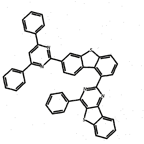 c1ccc(-c2cc(-c3ccccc3)nc(-c3ccc4c(c3)sc3cccc(-c5nc(-c6ccccc6)c6sc7ccccc7c6n5)c34)n2)cc1